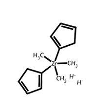 [CH3][Zr]([CH3])([CH3])([C]1=CC=CC1)[C]1=CC=CC1.[H-].[H-]